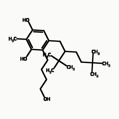 Cc1c(O)cc(CC(CCC(C)(C)C)C(C)(C)C)c(CCCCO)c1O